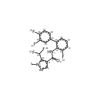 Cn1ncc(C(=O)Nc2c(F)cccc2-c2ccc(F)c(F)c2)c1C(F)F